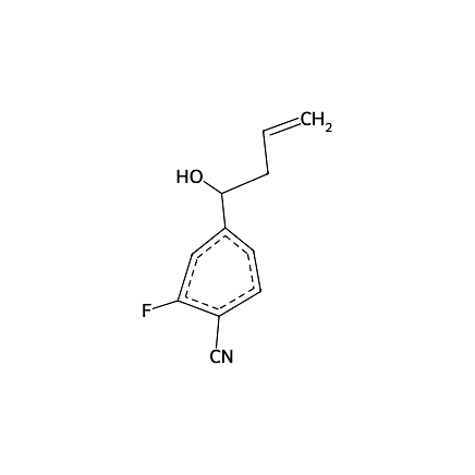 C=CCC(O)c1ccc(C#N)c(F)c1